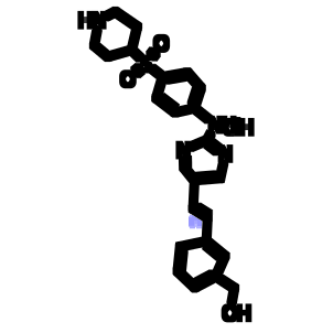 Cl.O=S(=O)(c1ccc(Nc2ncc(/C=C/c3cccc(CO)c3)cn2)cc1)C1CCNCC1